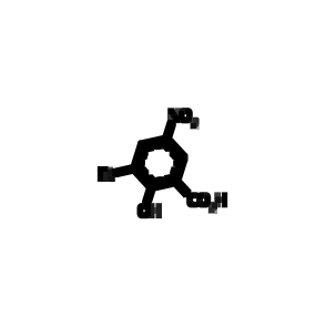 CCc1cc([N+](=O)[O-])cc(C(=O)O)c1O